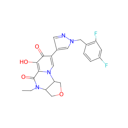 CCN1C(=O)c2c(O)c(=O)c(-c3cnn(Cc4ccc(F)cc4F)c3)cn2C2COCC21